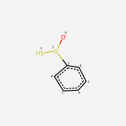 [O-][S+](S)c1[c]cccc1